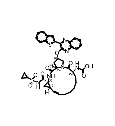 O=C(O)N[C@H]1CCCCCC=C[C@@H]2C[C@@]2(C(=O)NS(=O)(=O)C2CC2)NC(=O)[C@@H]2C[C@@H](Oc3nc4ccccc4nc3-c3cc4ccccc4s3)CN2C1=O